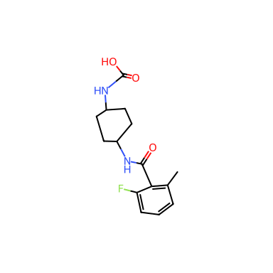 Cc1cccc(F)c1C(=O)NC1CCC(NC(=O)O)CC1